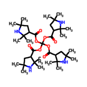 CC1(C)CC(C(=O)OC(OC(=O)C2CC(C)(C)NC2(C)C)(OC(=O)C2CC(C)(C)NC2(C)C)OC(=O)C2CC(C)(C)NC2(C)C)C(C)(C)N1